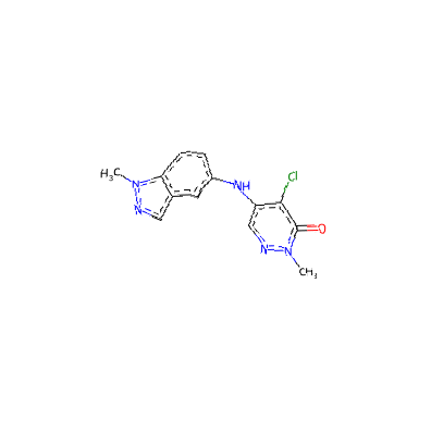 Cn1ncc(Nc2ccc3c(cnn3C)c2)c(Cl)c1=O